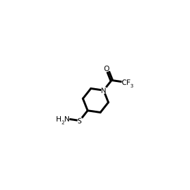 NSC1CCN(C(=O)C(F)(F)F)CC1